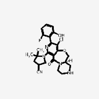 CC1(C)CC(C#N)CN1c1nc(-c2c(O)cccc2F)c(Cl)c2c1C(=O)N1CCNC[C@@H]1CO2